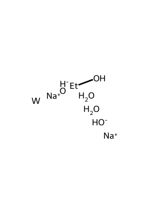 CCO.O.O.[Na+].[Na+].[OH-].[OH-].[W]